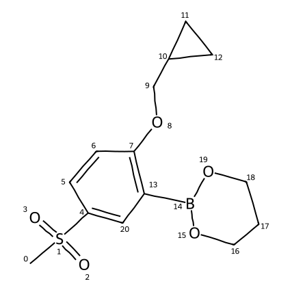 CS(=O)(=O)c1ccc(OCC2CC2)c(B2OCCCO2)c1